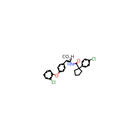 O=C(O)C(=Cc1ccc(Oc2ccccc2Cl)cc1)NC(=O)C1(c2ccc(Cl)cc2)CCCC1